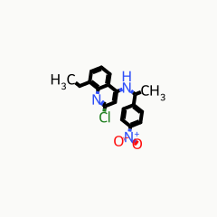 CCc1cccc2c(NC(C)c3ccc([N+](=O)[O-])cc3)cc(Cl)nc12